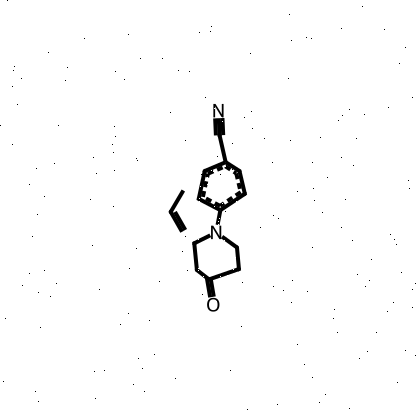 C=CC.N#Cc1ccc(N2CCC(=O)CC2)cc1